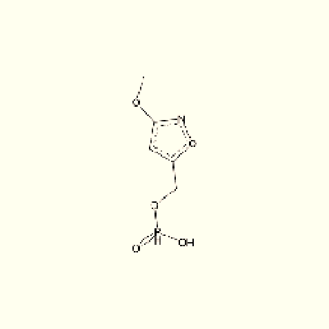 COc1cc(CO[PH](=O)O)on1